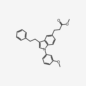 COC(=O)CCc1ccc2c(c1)c(CCc1ccccc1)cn2-c1cccc(OC)c1